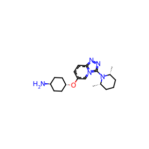 C[C@@H]1CCC[C@H](C)N1c1nnc2ccc(O[C@H]3CC[C@H](N)CC3)cn12